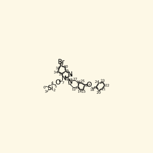 C[Si](C)(C)CCOCn1c(N2CCc3ccc(OCc4ccccc4)cc3C2)nc2cc(Br)ccc21